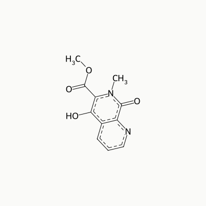 COC(=O)c1c(O)c2cccnc2c(=O)n1C